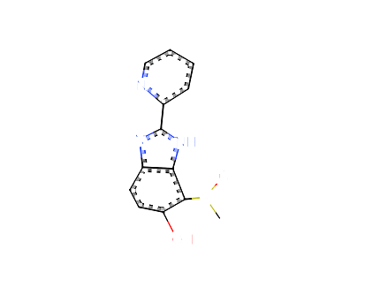 C[S+]([O-])c1c(O)ccc2nc(-c3ccccn3)[nH]c12